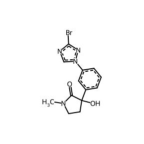 CN1CCC(O)(c2cccc(-n3cnc(Br)n3)c2)C1=O